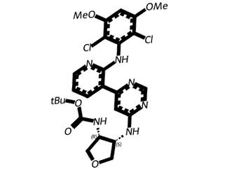 COc1cc(OC)c(Cl)c(Nc2ncccc2-c2cc(N[C@@H]3COC[C@@H]3NC(=O)OC(C)(C)C)ncn2)c1Cl